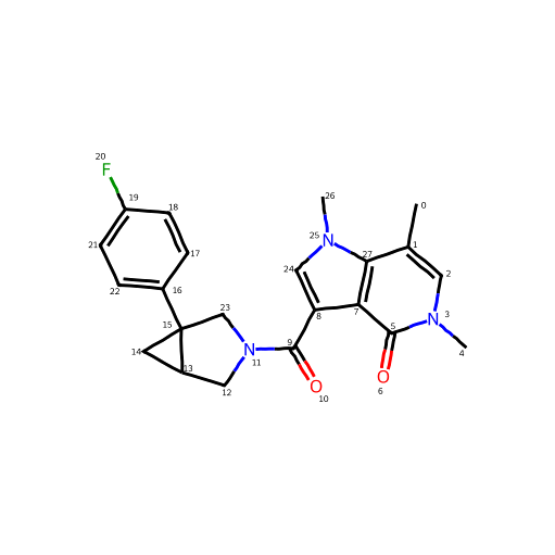 Cc1cn(C)c(=O)c2c(C(=O)N3CC4CC4(c4ccc(F)cc4)C3)cn(C)c12